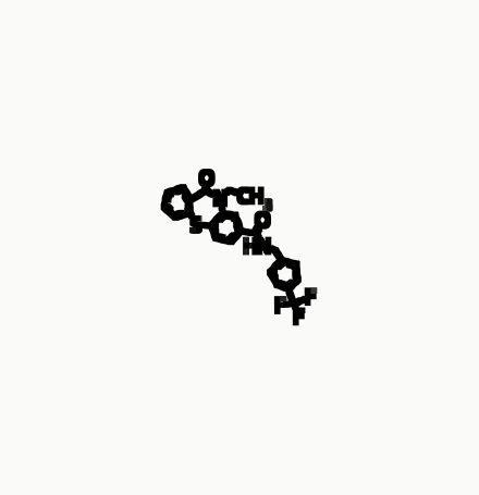 CCN1C(=O)c2ccccc2Sc2ccc(C(=O)NCc3ccc(C(F)(F)F)cc3)cc21